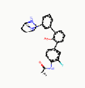 CC(=O)Nc1ccc(-c2cccc(-c3cccc(N4CC5CCC4CN5)c3)c2O)cc1F